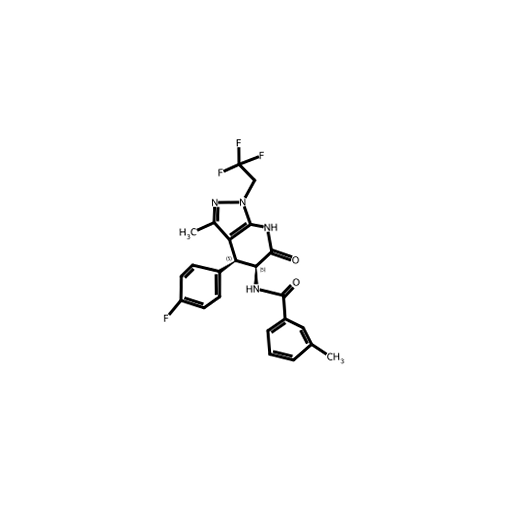 Cc1cccc(C(=O)N[C@@H]2C(=O)Nc3c(c(C)nn3CC(F)(F)F)[C@@H]2c2ccc(F)cc2)c1